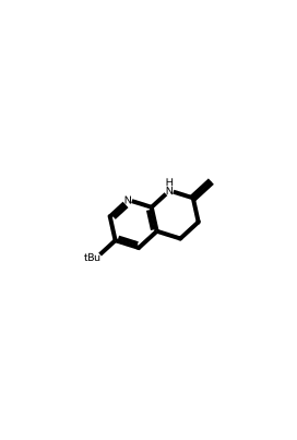 C=C1CCc2cc(C(C)(C)C)cnc2N1